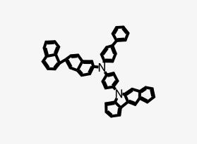 c1ccc(-c2ccc(N(c3ccc(-n4c5ccccc5c5cc6ccccc6cc54)cc3)c3ccc4cc(-c5cccc6ccccc56)ccc4c3)cc2)cc1